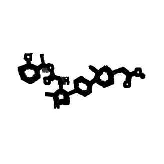 COC(=O)Cc1ccc(-c2ccc(-c3snc(C)c3NC(=O)O[C@H](C)c3ccccc3Cl)cc2)c(C)c1